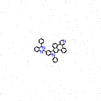 c1ccc(-c2nc(-c3ccc4c(c3)c3c5cccc6c5c(cc3n4-c3ccccc3)-c3ccccc3-c3cnccc3-6)nc3ccccc23)cc1